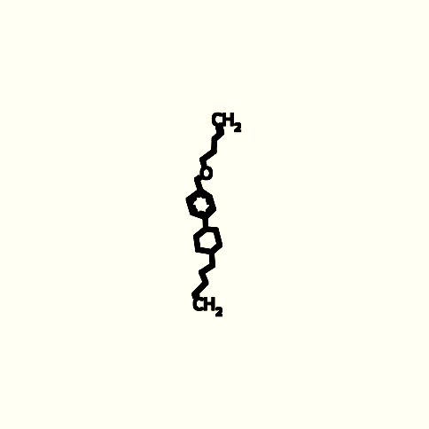 C=CCCCOCc1ccc(C2CCC(CCCC=C)CC2)cc1